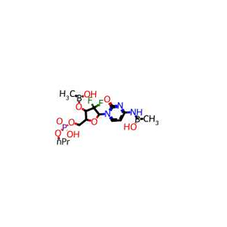 CCCOP(=O)(O)OCC1OC(n2ccc(NB(C)O)nc2=O)C(F)(F)C1OB(C)O